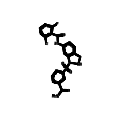 CNC(=O)c1cccc(S(=O)(=O)N2NCc3ccc(NC(=O)c4c(F)cccc4Cl)cc32)c1